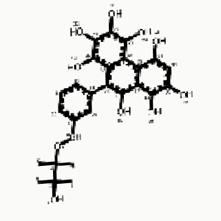 CC(C)(O)C(C)(C)OBc1cccc(-c2c(O)c3c(O)c(O)cc(O)c3c3c(O)c(O)c(O)c(O)c23)c1